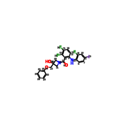 O=C(c1c(Nc2ccc(I)cc2F)ccc(F)c1F)N1CC(O)(COc2ccccc2)C1